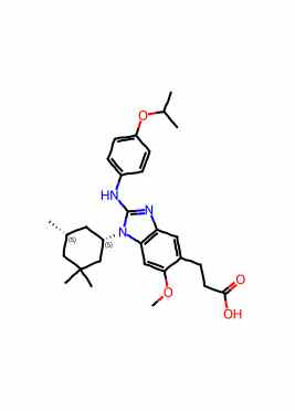 COc1cc2c(cc1CCC(=O)O)nc(Nc1ccc(OC(C)C)cc1)n2[C@H]1C[C@@H](C)CC(C)(C)C1